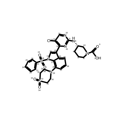 O=C(O)N1CCC[C@H](Nc2ncc(Cl)c(-c3cn(S(=O)(=O)c4ccccc4)c4c(N5CCS(=O)(=O)CC5)cccc34)n2)C1